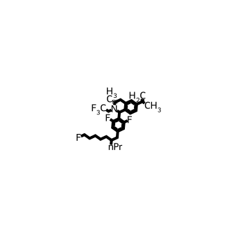 C=C(C)c1ccc2c(c1)C[C@@H](C)N(CC(F)(F)F)C2c1c(F)cc(CC(CCC)CCCCCF)cc1F